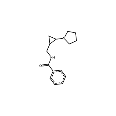 O=C(NCC1CC1N1CCCC1)c1ccccc1